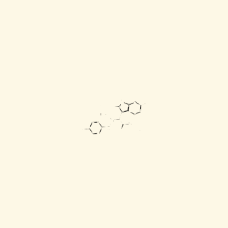 C[C@H](c1ccc(Cl)cc1)N(C=O)C(C(=O)NC(C)(C)C)c1c(C(=O)O)[nH]c2cc(Cl)ccc12